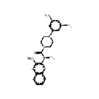 COc1nc2ccccc2nc1N(C)C(=O)N1CCN(c2cc([N+](=O)[O-])cc([N+](=O)[O-])c2)CC1